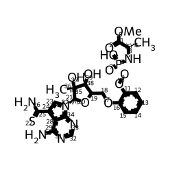 COC(=O)[C@H](C)NP(=O)(O)OOc1ccccc1OCC1O[C@@H](n2cc(C(N)=S)c3c(N)ncnc32)[C@](C)(O)C1O